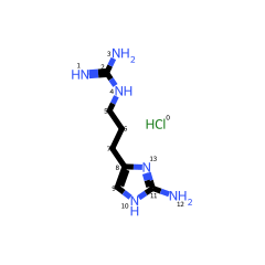 Cl.N=C(N)NCCCc1c[nH]c(N)n1